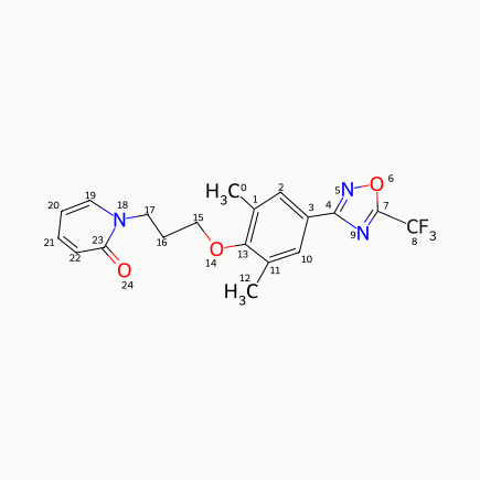 Cc1cc(-c2noc(C(F)(F)F)n2)cc(C)c1OCCCn1ccccc1=O